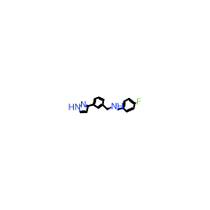 Fc1ccc(CNCc2cccc(-c3cc[nH]n3)c2)cc1